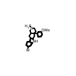 COc1cccc(C23CCN(C)CC2Cc2c([nH]c4cc(Br)ccc24)C3)c1